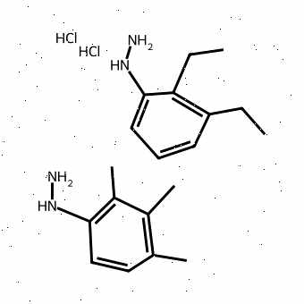 CCc1cccc(NN)c1CC.Cc1ccc(NN)c(C)c1C.Cl.Cl